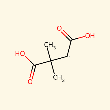 CC(C)([CH]C(=O)O)C(=O)O